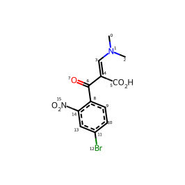 CN(C)/C=C(\C(=O)O)C(=O)c1ccc(Br)cc1[N+](=O)[O-]